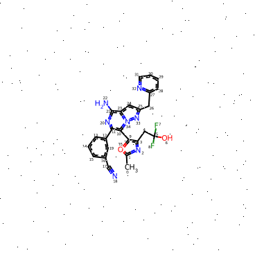 Cc1nc(CC(O)(F)F)c(-c2c(-c3cccc(C#N)c3)nc(N)c3cc(Cc4ccccn4)nn23)o1